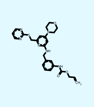 C=CCOC(=O)Nc1cccc(CNc2cc(N3CCOCC3)cc(CSc3ncccn3)n2)c1